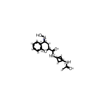 O=C(I)NC12CC(NC(=O)C3C/C(=N/O)c4ccccc4O3)(C1)C2